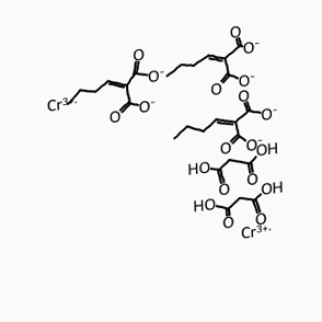 CCCC=C(C(=O)[O-])C(=O)[O-].CCCC=C(C(=O)[O-])C(=O)[O-].CCCC=C(C(=O)[O-])C(=O)[O-].O=C(O)CC(=O)O.O=C(O)CC(=O)O.[Cr+3].[Cr+3]